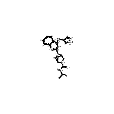 CC(C)NC(=O)N1CC2CC1CN2c1nc(Nc2cn[nH]c2)c2ccccc2n1